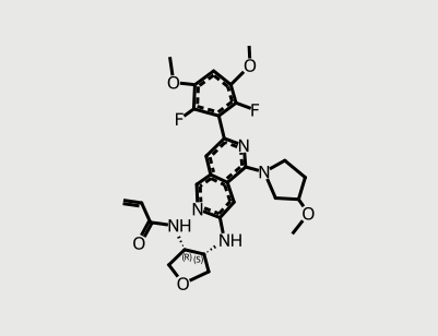 C=CC(=O)N[C@H]1COC[C@H]1Nc1cc2c(N3CCC(OC)C3)nc(-c3c(F)c(OC)cc(OC)c3F)cc2cn1